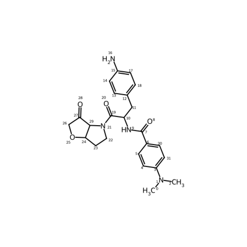 CN(C)c1ccc(C(=O)NC(Cc2ccc(N)cc2)C(=O)N2CCC3OCC(=O)C32)cc1